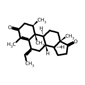 CC=C1C[C@@H]2[C@H](CC[C@]3(C)C(=O)CC[C@@H]23)[C@]2(C)C1=C(C)C(=O)C[C@H]2C